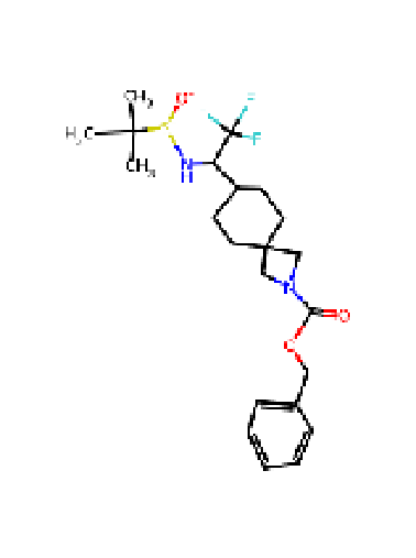 CC(C)(C)[S+]([O-])NC(C1CCC2(CC1)CN(C(=O)OCc1ccccc1)C2)C(F)(F)F